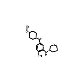 CCO[C@H]1CC[C@H](Nc2ccc(C#N)c(N[C@@H]3CCCOC3)n2)CC1